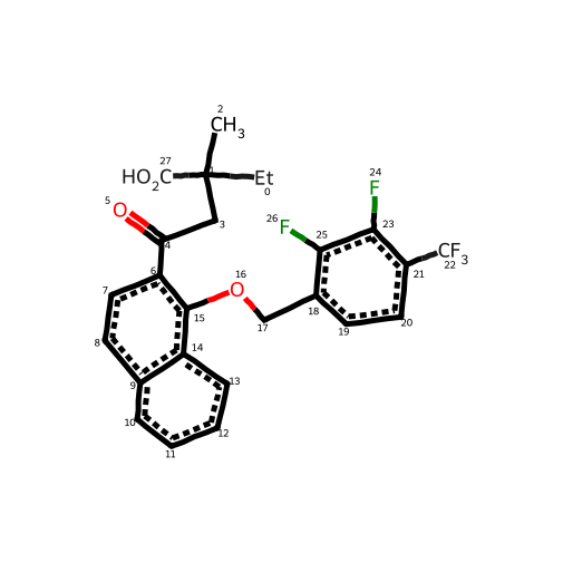 CCC(C)(CC(=O)c1ccc2ccccc2c1OCc1ccc(C(F)(F)F)c(F)c1F)C(=O)O